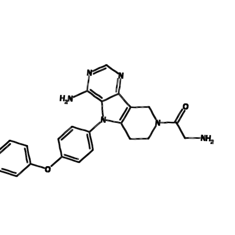 NCC(=O)N1CCc2c(c3ncnc(N)c3n2-c2ccc(Oc3ccccc3)cc2)C1